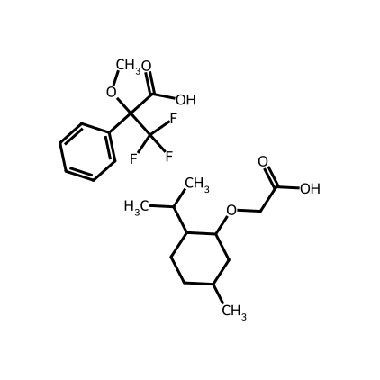 CC1CCC(C(C)C)C(OCC(=O)O)C1.COC(C(=O)O)(c1ccccc1)C(F)(F)F